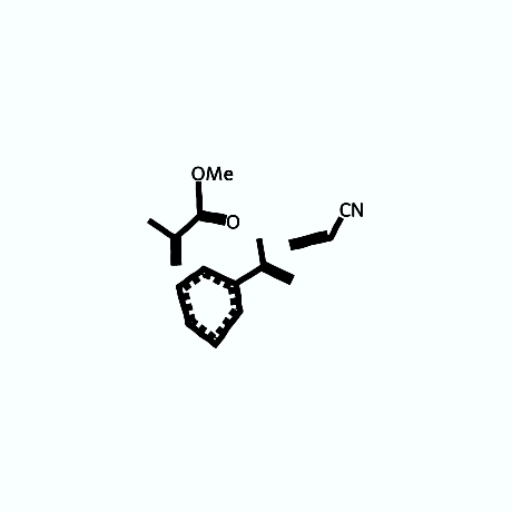 C=C(C)C(=O)OC.C=C(C)c1ccccc1.C=CC#N